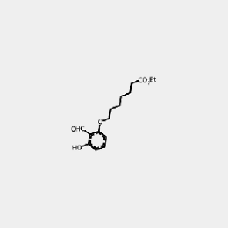 CCOC(=O)CCCCCCOc1cccc(O)c1C=O